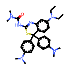 CCN(CC)c1ccc2c(c1)N=C(NC(=O)N(C)C)SC2(c1ccc(N(C)C)cc1)c1ccc(N(C)C)cc1